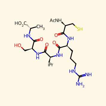 CC(=O)N[C@@H](CS)C(=O)N[C@@H](CCCNC(=N)N)C(=O)N[C@H](C(=O)N[C@@H](CO)C(=O)N[C@@H](C)C(=O)O)C(C)C